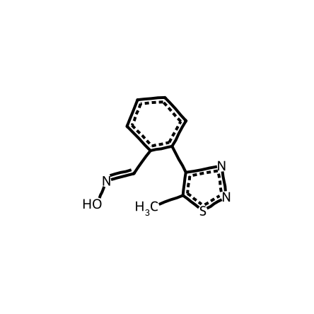 Cc1snnc1-c1ccccc1C=NO